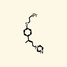 CC(=CCn1ccnc1)c1ccc(SCCC(C)C)cc1